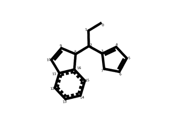 CCC(C1=CC=CC1)C1C=Cc2ccccc21